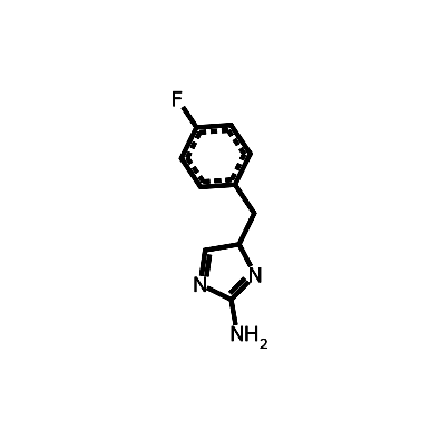 NC1=NC(Cc2ccc(F)cc2)C=N1